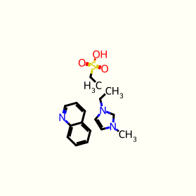 CCN1C=CN(C)C1.CCS(=O)(=O)O.c1ccc2ncccc2c1